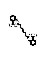 O=c1oc(CCCCCCc2nc3ccccc3c(=O)o2)nc2ccccc12